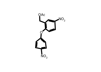 CC(=O)OCc1cc([N+](=O)[O-])ccc1Oc1ccc([N+](=O)[O-])cc1